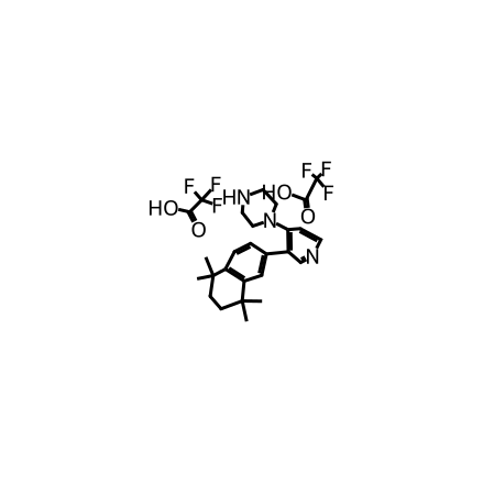 CC1(C)CCC(C)(C)c2cc(-c3cnccc3N3CCNCC3)ccc21.O=C(O)C(F)(F)F.O=C(O)C(F)(F)F